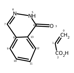 C=CC(=O)O.O=c1[nH]ncc2ccccc12